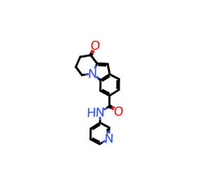 O=C(Nc1cccnc1)c1ccc2cc3n(c2c1)CCCC3=O